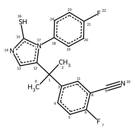 CC(C)(c1ccc(F)c(C#N)c1)c1cnc(S)n1-c1ccc(F)cc1